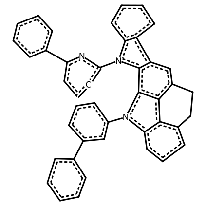 c1ccc(-c2cccc(-n3c4cccc5c4c4c(cc6c7ccccc7n(-c7cccc(-c8ccccc8)n7)c6c43)CC5)c2)cc1